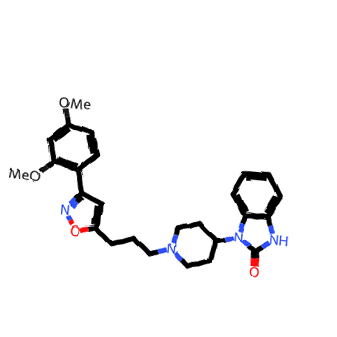 COc1ccc(-c2cc(CCCN3CCC(n4c(=O)[nH]c5ccccc54)CC3)on2)c(OC)c1